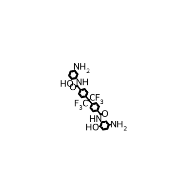 Nc1ccc(O)c(NC(=O)c2ccc(C(c3ccc(C(=O)Nc4cc(N)ccc4O)cc3)(C(F)(F)F)C(F)(F)F)cc2)c1